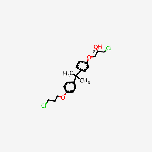 CC(C)(c1ccc(OCCCCl)cc1)c1ccc(OC[C@@H](O)CCl)cc1